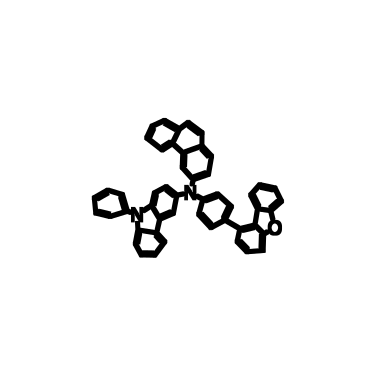 c1ccc(-n2c3ccccc3c3cc(N(c4ccc(-c5cccc6oc7ccccc7c56)cc4)c4ccc5ccc6ccccc6c5c4)ccc32)cc1